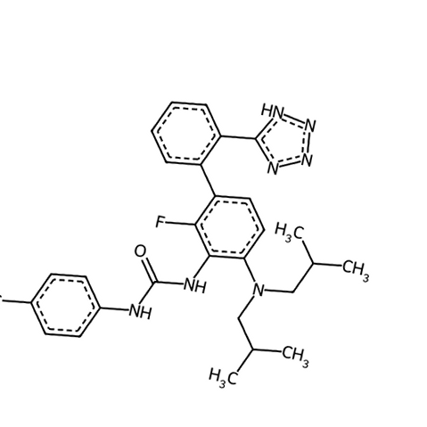 Cc1ccc(NC(=O)Nc2c(N(CC(C)C)CC(C)C)ccc(-c3ccccc3-c3nnn[nH]3)c2F)cc1